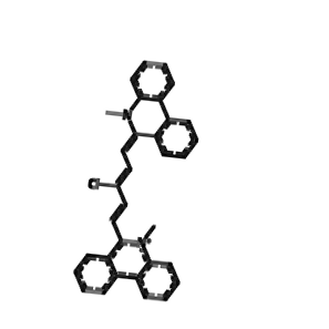 CN1/C(=C/C=C(Cl)/C=C/c2c3ccccc3c3ccccc3[n+]2C)c2ccccc2-c2ccccc21